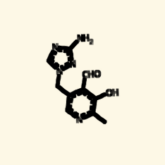 Cc1ncc(Cn2cnc(N)n2)c(C=O)c1O